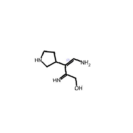 N=C(CO)/C(=C\N)C1CCNC1